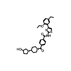 CCOc1ccc(CC)cc1-c1csc(NC(=O)c2ccc(C(=O)N3CCC(N4CCC(O)C4)CC3)cc2)n1